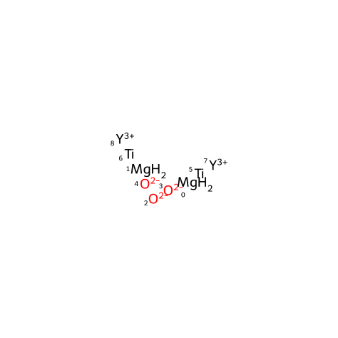 [MgH2].[MgH2].[O-2].[O-2].[O-2].[Ti].[Ti].[Y+3].[Y+3]